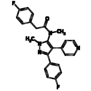 CN(C(=O)Cc1ccc(F)cc1)c1c(-c2ccncc2)c(-c2ccc(F)cc2)nn1C